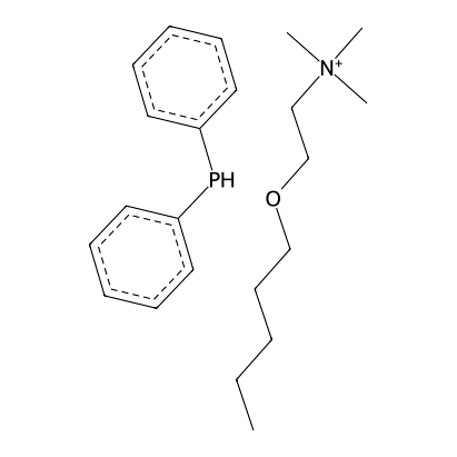 CCCCCOCC[N+](C)(C)C.c1ccc(Pc2ccccc2)cc1